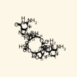 CNN(c1ncnc(N)c1N)[C@@]1(F)CO[C@@H]2COP(=O)(S)O[C@@H]3[C@@H](F)[C@@H](COP(=O)(S)O[C@H]21)S[C@H]3n1cnc2c(=O)[nH]c(N)nc21